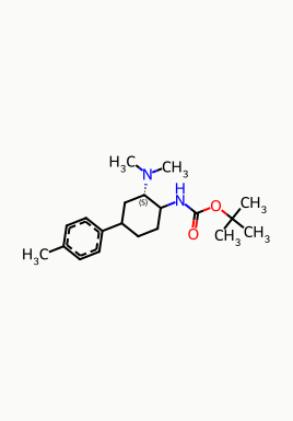 Cc1ccc(C2CCC(NC(=O)OC(C)(C)C)[C@@H](N(C)C)C2)cc1